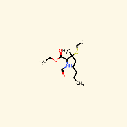 CCCCCC(C)(SCC)C(NC=O)C(=O)OCC